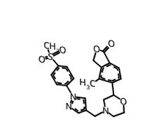 Cc1c(C2CN(Cc3cnn(-c4ccc(S(C)(=O)=O)cc4)c3)CCO2)ccc2c1COC2=O